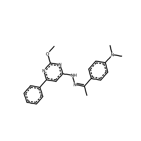 COc1nc(NN=C(C)c2ccc(N(C)C)cc2)cc(-c2ccccc2)n1